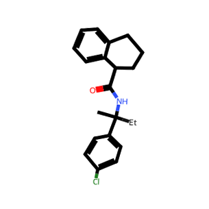 CCC(C)(NC(=O)C1CCCc2ccccc21)c1ccc(Cl)cc1